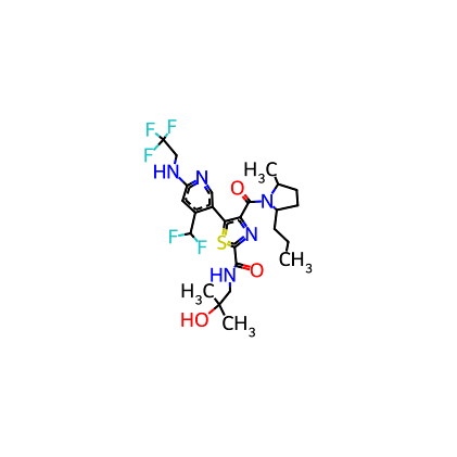 CCCC1CCC(C)N1C(=O)c1nc(C(=O)NCC(C)(C)O)sc1-c1cnc(NCC(F)(F)F)cc1C(F)F